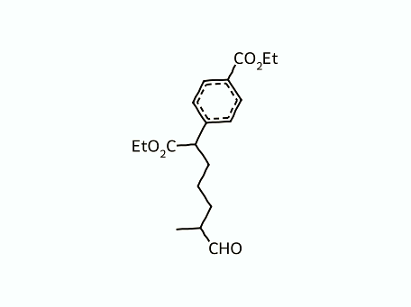 CCOC(=O)c1ccc(C(CCCC(C)C=O)C(=O)OCC)cc1